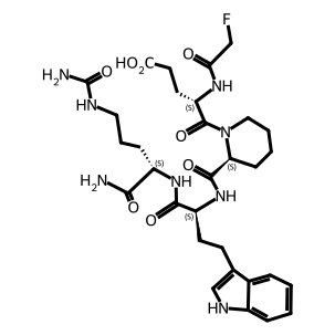 NC(=O)NCCC[C@H](NC(=O)[C@H](CCc1c[nH]c2ccccc12)NC(=O)[C@@H]1CCCCN1C(=O)[C@H](CCC(=O)O)NC(=O)CF)C(N)=O